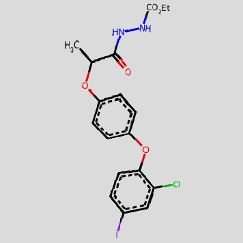 CCOC(=O)NNC(=O)C(C)Oc1ccc(Oc2ccc(I)cc2Cl)cc1